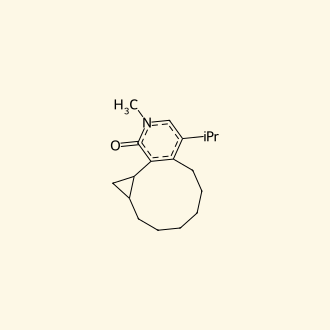 CC(C)c1cn(C)c(=O)c2c1CCCCCCC1CC21